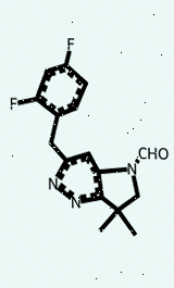 CC1(C)CN(C=O)c2cc(Cc3ccc(F)cc3F)nnc21